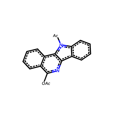 CC(=O)Oc1nc2c3ccccc3n(C(C)=O)c2c2ccccc12